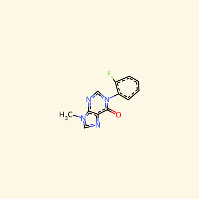 Cn1cnc2c(=O)n(-c3ccccc3F)cnc21